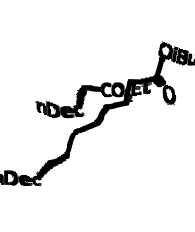 CCCCCCCCCCCC(=O)OCC.CCCCCCCCCCCCCCCCCC(=O)OCC(C)C